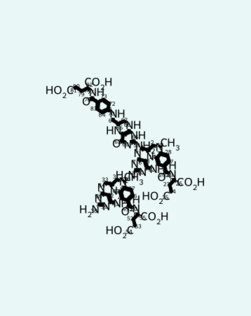 CN(Cc1cnc2nc(N)nc(N)c2n1)c1ccc(C(=O)N[C@@H](CCC(=O)O)C(=O)O)cc1.CN(Cc1cnc2nc(N)nc(N)c2n1)c1ccc(C(=O)N[C@@H](CCC(=O)O)C(=O)O)cc1.Nc1nc(=O)c2c([nH]1)NCC(CNc1ccc(C(=O)N[C@@H](CCC(=O)O)C(=O)O)cc1)N2